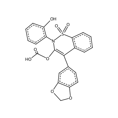 O=C(O)OC1=C(c2ccc3c(c2)OCO3)c2ccccc2S(=O)(=O)N1c1ccccc1O